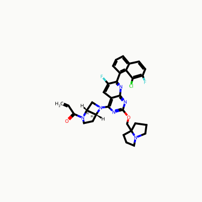 C=CC(=O)N1CC[C@@H]2[C@H]1CN2c1nc(OCC23CCCN2CCC3)nc2nc(-c3cccc4ccc(F)c(Cl)c34)c(F)cc12